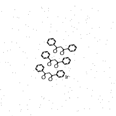 O=C(CC(=O)c1ccccc1)c1ccccc1.O=C(CC(=O)c1ccccc1)c1ccccc1.O=C(CC(=O)c1ccccc1)c1ccccc1.[Ir]